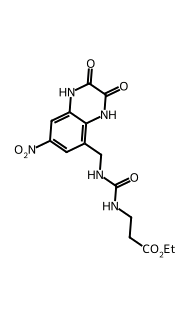 CCOC(=O)CCNC(=O)NCc1cc([N+](=O)[O-])cc2[nH]c(=O)c(=O)[nH]c12